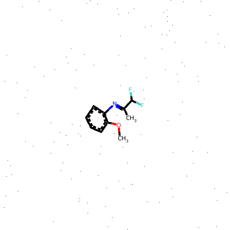 COc1ccccc1N=C(C)C(F)F